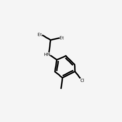 CCC(CC)Nc1ccc(Cl)c(C)c1